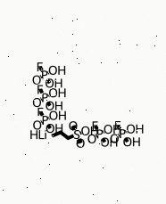 CCCS(=O)(=O)O.O=P(O)(O)F.O=P(O)(O)F.O=P(O)(O)F.O=P(O)(O)F.O=P(O)(O)F.[LiH]